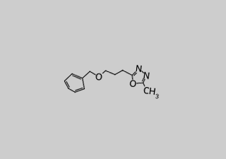 Cc1nnc(CCCOCc2ccccc2)o1